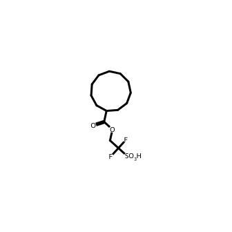 O=C(OCC(F)(F)S(=O)(=O)O)C1CCCCCCCCCC1